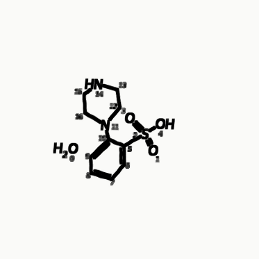 O.O=S(=O)(O)c1ccccc1N1CCNCC1